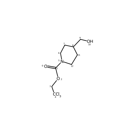 O=C(OCC(Cl)(Cl)Cl)N1CCC(CO)CC1